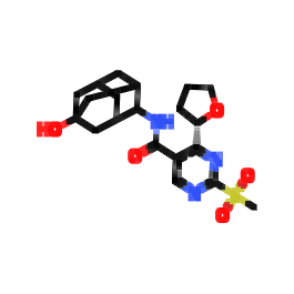 CS(=O)(=O)c1ncc(C(=O)NC2C3CC4CC2CC(O)(C4)C3)c([C@@H]2CCCO2)n1